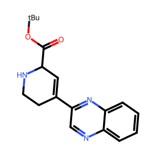 CC(C)(C)OC(=O)C1C=C(c2cnc3ccccc3n2)CCN1